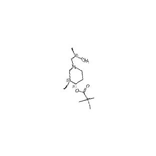 C[C@@H](O)CN1CC[C@H](OC(=O)C(C)(C)C)[C@@H](C)C1